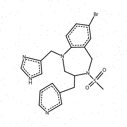 CS(=O)(=O)N1Cc2cc(Br)ccc2N(Cc2c[nH]cn2)CC1Cc1cccnc1